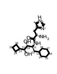 N[C@@H](Cc1c[nH]cn1)C(=O)N[C@@H](CC1CCCCC1)[C@@H](O)[C@@H](O)C1CCC1